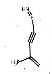 C=C(P)C#CP=N